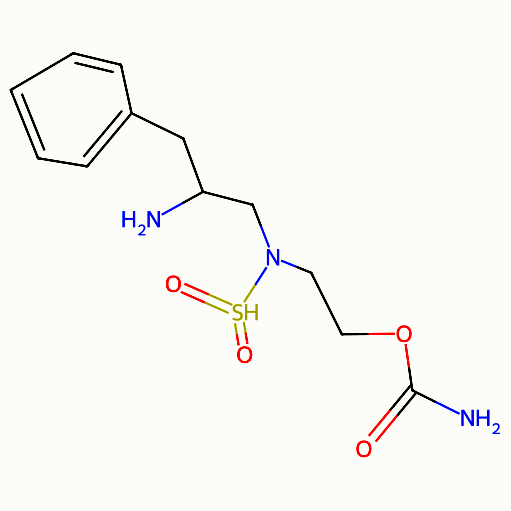 NC(=O)OCCN(CC(N)Cc1ccccc1)[SH](=O)=O